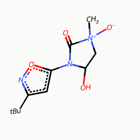 CC(C)(C)c1cc(N2C(=O)[N+](C)([O-])CC2O)on1